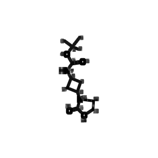 CC(C)(C)OC(=O)NC1CC(N2CCOC2=O)C1